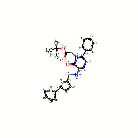 CC(C)(C)OC(=O)Cn1c(-c2ccccc2)ncc(NCc2ccc(-c3ccccc3)s2)c1=O